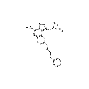 CC(C)Cn1cnc2c(N)nc3ccc(C=CCCc4ccccc4)cc3c21